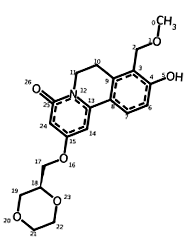 COCc1c(O)ccc2c1CCn1c-2cc(OC[C@@H]2COCCO2)cc1=O